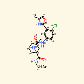 CC(=O)NNC(=O)C12CC(C)CC(C1)N2C(=O)Nc1ccc(Cl)c(-c2nc(C)co2)c1